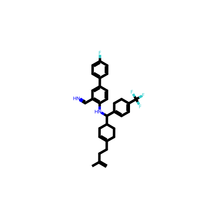 C=C(C)CCC1=CCC(C(Nc2ccc(-c3ccc(F)cc3)cc2C=N)C2=CC=C(C(F)(F)F)CC2)CC1